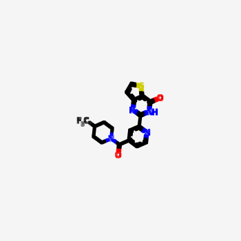 O=C(c1ccnc(-c2nc3ccsc3c(=O)[nH]2)c1)N1CCC(C(F)(F)F)CC1